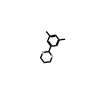 Cc1cc(C)cc(C2SCCCS2)c1